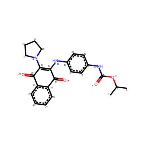 CC(C)OC(=O)Nc1ccc(NC2=C(N3CCCC3)C(=O)c3ccccc3C2=O)cc1